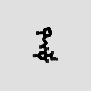 COC(=O)c1c(Cl)cc(Cl)cc1NC(=O)CSc1ccccc1Cl